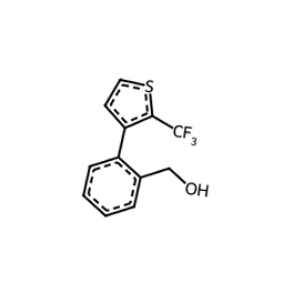 OCc1ccccc1-c1ccsc1C(F)(F)F